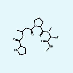 CCCC(C(=O)NCC)N(C)C(=O)C1CCCN1C(=O)CC(C)OC(=O)C1CCCN1